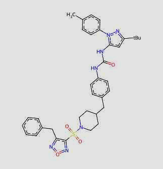 Cc1ccc(-n2nc(C(C)(C)C)cc2NC(=O)Nc2ccc(CC3CCN(S(=O)(=O)c4nonc4Cc4ccccc4)CC3)cc2)cc1